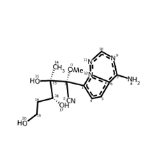 CO[C@@](C#N)(c1ccc2c(N)ncnn12)[C@](C)(O)[C@H](O)CCO